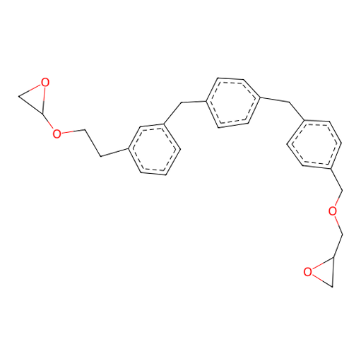 c1cc(CCOC2CO2)cc(Cc2ccc(Cc3ccc(COCC4CO4)cc3)cc2)c1